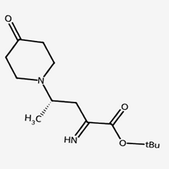 C[C@@H](CC(=N)C(=O)OC(C)(C)C)N1CCC(=O)CC1